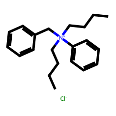 CCCC[N+](CCCC)(Cc1ccccc1)c1ccccc1.[Cl-]